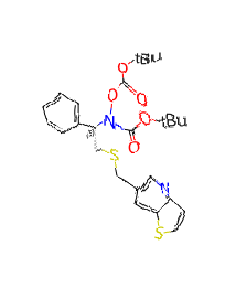 CC(C)(C)OC(=O)ON(C(=O)OC(C)(C)C)[C@H](CSCc1cnc2ccsc2c1)c1ccccc1